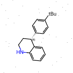 CC(C)(C)c1ccc([C@H]2CCNc3ccccc32)cc1